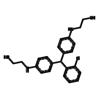 OCCNc1ccc(C(c2ccc(NCCO)cc2)c2ccccc2Cl)cc1